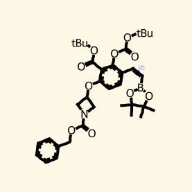 CC(C)(C)OC(=O)Oc1c(/C=C\B2OC(C)(C)C(C)(C)O2)ccc(OC2CN(C(=O)OCc3ccccc3)C2)c1C(=O)OC(C)(C)C